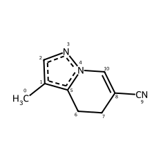 Cc1cnn2c1CCC(C#N)=C2